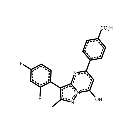 Cc1nn2c(O)cc(-c3ccc(C(=O)O)cc3)nc2c1-c1ccc(F)cc1F